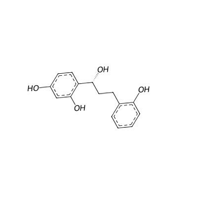 Oc1ccc([C@H](O)CCc2ccccc2O)c(O)c1